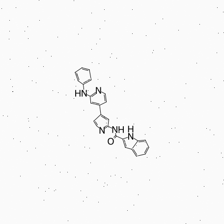 O=C(Nc1cc(-c2ccnc(Nc3ccccc3)c2)ccn1)c1cc2ccccc2[nH]1